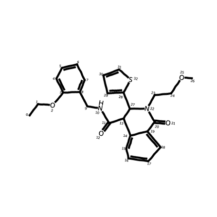 CCOc1ccccc1CNC(=O)C1c2ccccc2C(=O)N(CCOC)C1c1cccs1